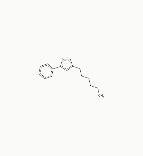 CCCCCCc1csc(-c2ccccc2)c1